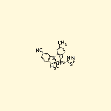 Cc1cccc([C@H]2c3cc(C#N)ccc3C[C@@]2(C)C(=O)Nc2nncs2)c1